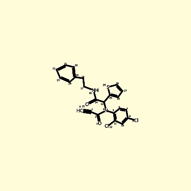 C#CC(=O)N(c1ccc(Cl)cc1Cl)C(C(=O)NCCc1ccccc1)c1cccs1